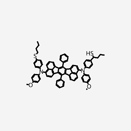 CCCCSc1ccc(N(c2ccc(OC)cc2)c2ccc3c4c(-c5ccccc5)c5c6cccc7c(N(c8ccc(OC)cc8)c8ccc(C(S)CCC)cc8)ccc(c5c(-c5ccccc5)c4c4cccc2c43)c76)cc1